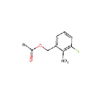 CCC(=O)OCc1cccc(F)c1[N+](=O)[O-]